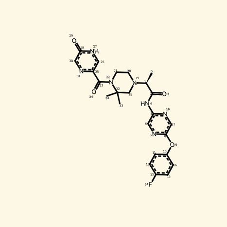 C[C@@H](C(=O)Nc1cnc(Oc2ccc(F)cc2)cn1)N1CCN(C(=O)c2c[nH]c(=O)cn2)C(C)(C)C1